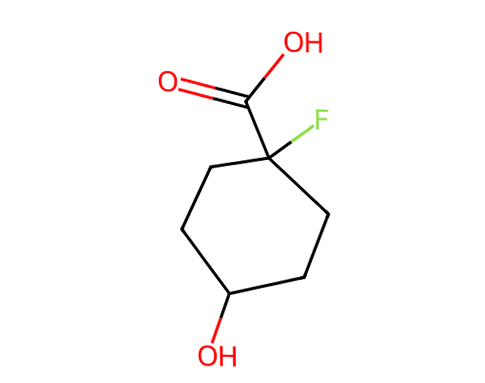 O=C(O)C1(F)CCC(O)CC1